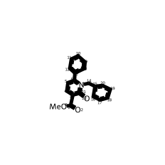 COC(=O)c1ccc(-c2ccccc2)n(Cc2ccccc2)c1=O